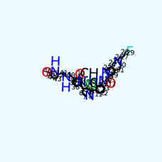 COc1nc(-c2ccnc(-c3cccc(NC(=O)c4cc5c(cn4)CN(CCCF)CC5)c3C)c2Cl)ccc1CNCC1CCC(=O)N1